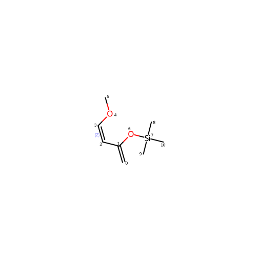 C=C(/C=C\OC)O[Si](C)(C)C